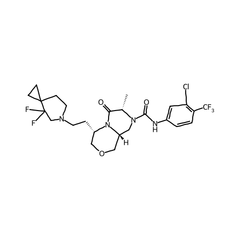 C[C@H]1C(=O)N2[C@@H](CCN3CCC4(CC4)C(F)(F)C3)COC[C@H]2CN1C(=O)Nc1ccc(C(F)(F)F)c(Cl)c1